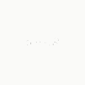 O=C1Nc2ncccc2OC[C@@H]1NC(O)c1nnc(C2CCc3ccccc32)[nH]1